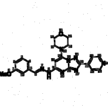 COc1cccc(C=NNc2cc(N3CCOCC3)n3nc(-c4ccncc4)nc3n2)c1